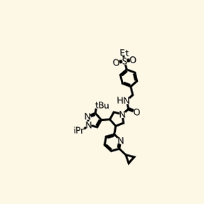 CCS(=O)(=O)c1ccc(CNC(=O)N2CC(c3cccc(C4CC4)n3)C(c3cn(C(C)C)nc3C(C)(C)C)C2)cc1